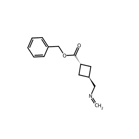 C=NC[C@H]1C[C@H](C(=O)OCc2ccccc2)C1